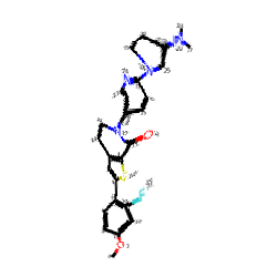 COc1ccc(-c2cc3c(s2)C(=O)N(c2ccc(N4CCC(N(C)C)C4)nc2)CC3)c(F)c1